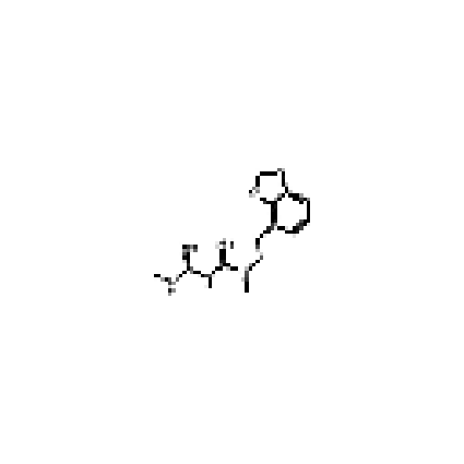 CNC(=N)NC(=N)N(C)CCc1cccc2c1OCO2